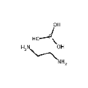 NCCN.OP(O)O